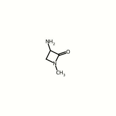 CN1CC(N)C1=O